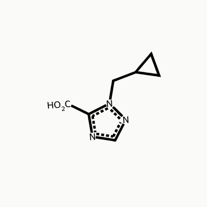 O=C(O)c1ncnn1CC1CC1